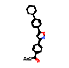 COC(=O)c1ccc(-c2cc(-c3ccc(C4CCCCC4)cc3)on2)cc1